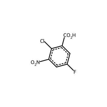 O=C(O)c1cc(F)cc([N+](=O)[O-])c1Cl